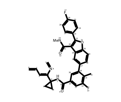 C=C/C=C(\N=C)C1(NC(=O)c2cc(F)c(C)c(-c3ccc4oc(-c5ccc(F)cc5)c(C(=O)NC)c4c3)c2)CC1